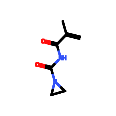 C=C(C)C(=O)NC(=O)N1CC1